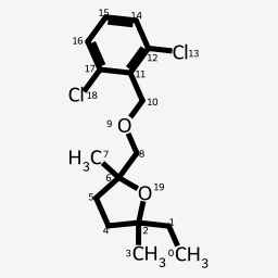 CCC1(C)CCC(C)(COCc2c(Cl)cccc2Cl)O1